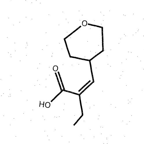 CCC(=CC1CCOCC1)C(=O)O